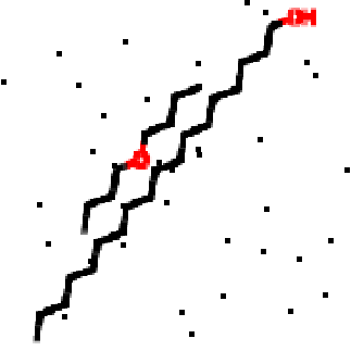 CCCCCCCCCCCCCCCCCCO.CCCCOCCCC